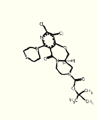 CC(C)(C)OC(=O)N1CCN2C(=O)c3c(N4CCSCC4)nc(Cl)c(Cl)c3OC[C@H]2C1